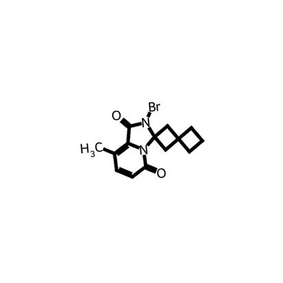 Cc1ccc(=O)n2c1C(=O)N(Br)C21CC2(CCC2)C1